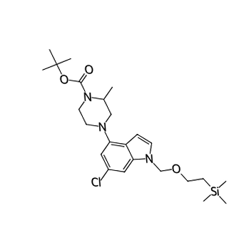 CC1CN(c2cc(Cl)cc3c2ccn3COCC[Si](C)(C)C)CCN1C(=O)OC(C)(C)C